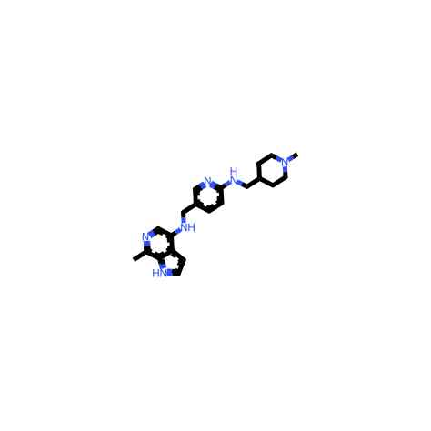 Cc1ncc(NCc2ccc(NCC3CCN(C)CC3)nc2)c2cc[nH]c12